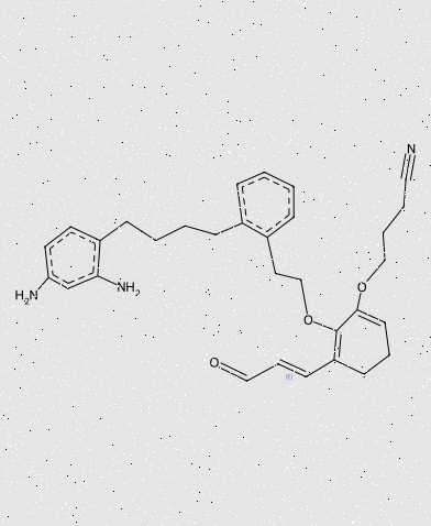 N#CCCCOC1=CC[CH]C(/C=C/C=O)=C1OCCc1ccccc1CCCCc1ccc(N)cc1N